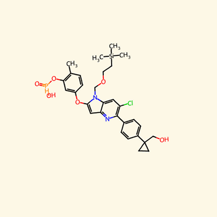 Cc1ccc(Oc2cc3nc(-c4ccc(C5(CO)CC5)cc4)c(Cl)cc3n2COCC[Si](C)(C)C)cc1O[PH](=O)O